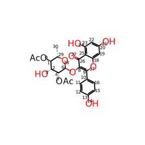 CC(=O)O[C@@H]1[C@@H](O)[C@@H](OC(C)=O)[C@H](Oc2c(-c3ccc(O)cc3)oc3cc(O)cc(O)c3c2=O)O[C@H]1C